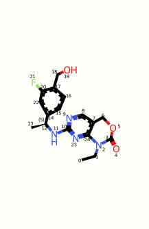 CCN1C(=O)OCc2cnc(N[C@@H](C)c3ccc(CO)c(F)c3)nc21